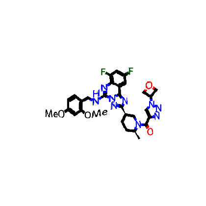 COc1ccc(CNc2nc3c(F)cc(F)cc3c3nc([C@@H]4CC[C@H](C)N(C(=O)c5cn(C6COC6)nn5)C4)nn23)c(OC)c1